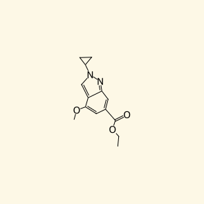 CCOC(=O)c1cc(OC)c2cn(C3CC3)nc2c1